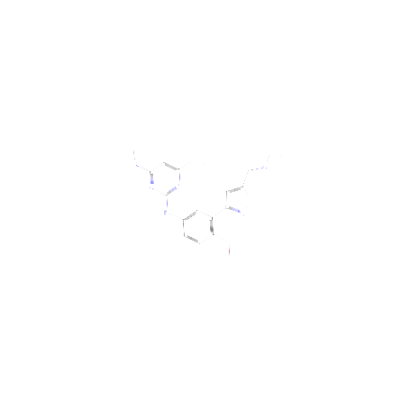 CNCc1cc(-c2cc(Nc3nc(C)cc(NC)n3)ccc2OC)no1